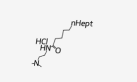 CCCCCCCCCCCC(=O)NCCN(C)C.Cl